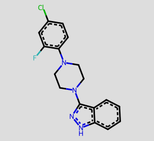 Fc1cc(Cl)ccc1N1CCN(c2n[nH]c3ccccc23)CC1